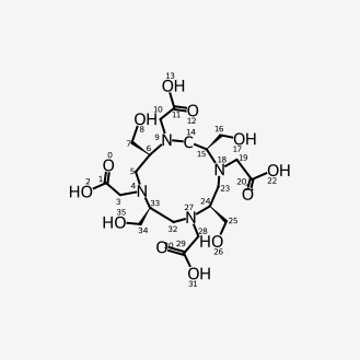 O=C(O)CN1C[C@@H](CO)N(CC(=O)O)C[C@@H](CO)N(CC(=O)O)C[C@@H](CO)N(CC(=O)O)C[C@H]1CO